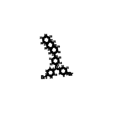 Brc1ccc(N(c2ccc(Br)cc2)c2ccc(-c3ccc4cc5ccccc5cc4c3)cc2)cc1